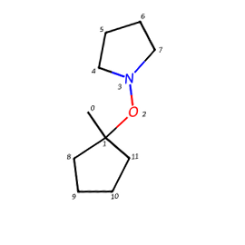 CC1(ON2CCCC2)CCCC1